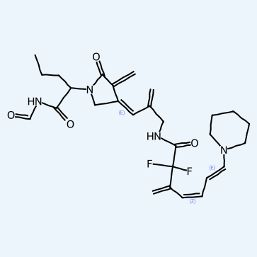 C=C(/C=C1/CN(C(CCC)C(=O)NC=O)C(=O)C1=C)CNC(=O)C(F)(F)C(=C)/C=C\C=C\N1CCCCC1